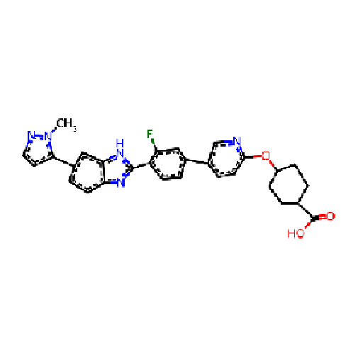 Cn1nccc1-c1ccc2nc(-c3ccc(-c4ccc(OC5CCC(C(=O)O)CC5)nc4)cc3F)[nH]c2c1